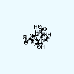 CC(O)(CN1CCNC(NC(=O)O)C1)Cn1cc([N+](=O)[O-])nc1Cl